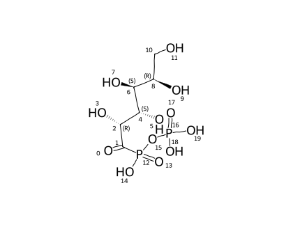 O=C([C@H](O)[C@@H](O)[C@@H](O)[C@H](O)CO)P(=O)(O)OP(=O)(O)O